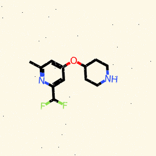 Cc1cc(OC2CCNCC2)cc(C(F)F)n1